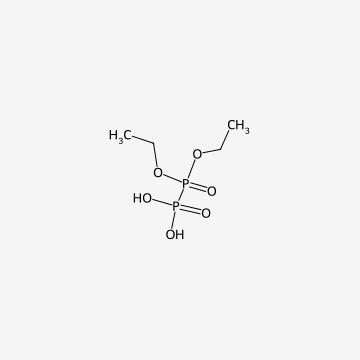 CCOP(=O)(OCC)P(=O)(O)O